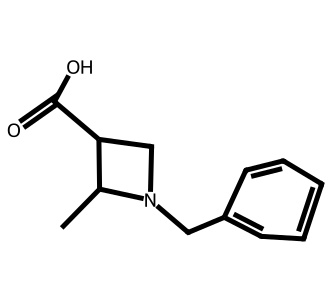 CC1C(C(=O)O)CN1Cc1ccccc1